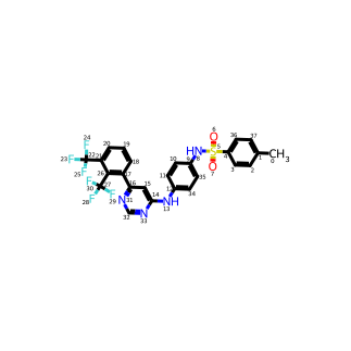 Cc1ccc(S(=O)(=O)Nc2ccc(Nc3cc(-c4cccc(C(F)(F)F)c4C(F)(F)F)ncn3)cc2)cc1